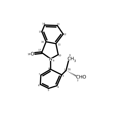 C[C@H](C=O)c1ccccc1N1Cc2ccccc2C1=O